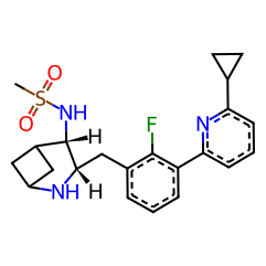 CS(=O)(=O)N[C@H]1C2CC(C2)N[C@H]1Cc1cccc(-c2cccc(C3CC3)n2)c1F